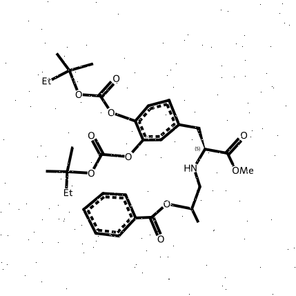 CCC(C)(C)OC(=O)Oc1ccc(C[C@H](NCC(C)OC(=O)c2ccccc2)C(=O)OC)cc1OC(=O)OC(C)(C)CC